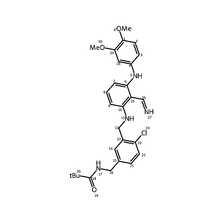 COc1ccc(Nc2cccc(NCc3cc(CNC(=O)C(C)(C)C)ccc3Cl)c2C=N)cc1OC